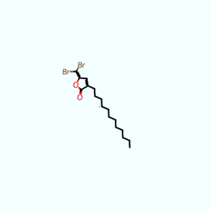 CCCCCCCC[CH]CCCC1=CC(=C(Br)Br)OC1=O